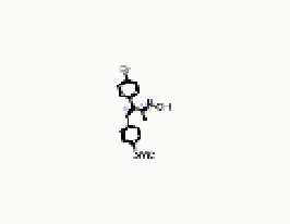 CSc1ccc(/C=C(\C(C)=N\O)c2ccc(Br)cc2)cc1